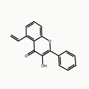 C=Cc1cccc2oc(-c3ccccc3)c(O)c(=O)c12